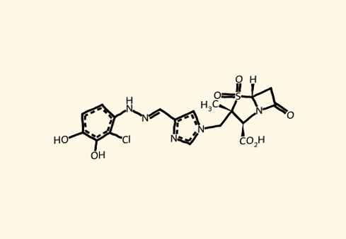 C[C@]1(Cn2cnc(/C=N/Nc3ccc(O)c(O)c3Cl)c2)[C@H](C(=O)O)N2C(=O)C[C@H]2S1(=O)=O